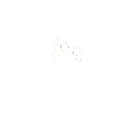 CC(=O)Nc1cc(-c2cnc(N)c(S(=O)(=O)NC3CCCCC3)c2)ccn1